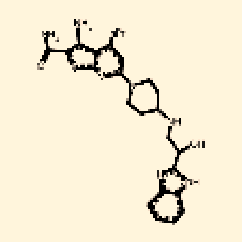 CCCc1cc(N2CCC(NCC(O)c3nc4ccccc4[nH]3)CC2)nc2sc(C(N)=O)c(N)c12